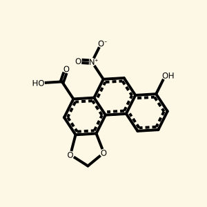 O=C(O)c1cc2c(c3c1c([N+](=O)[O-])cc1c(O)cccc13)OCO2